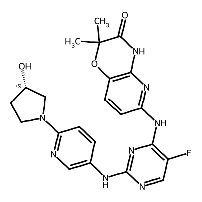 CC1(C)Oc2ccc(Nc3nc(Nc4ccc(N5CC[C@H](O)C5)nc4)ncc3F)nc2NC1=O